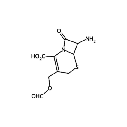 NC1C(=O)N2C(C(=O)O)=C(COC=O)CSC12